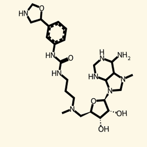 CN(CCCNC(=O)Nc1cccc(C2CNCO2)c1)C[C@H]1O[C@@H](N2CN(C)C3C(N)NCNC32)[C@H](O)[C@@H]1O